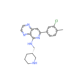 Cc1ccc(-c2cc3nccnc3c(NC[C@H]3CCCNC3)n2)cc1Cl